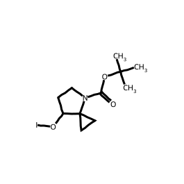 CC(C)(C)OC(=O)N1CCC(OI)C12CC2